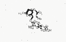 CSS[C@H](C)O[C@@H]1C[C@H](C)O[C@@H]1COP(=O)(O)OP(=O)(O)OP(=O)(O)O